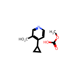 COC(=O)O.O=C(O)c1cnccc1C1CC1